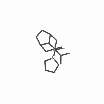 CC(C)N1CC2CCC(C1)C2C(=O)N1CCCC1